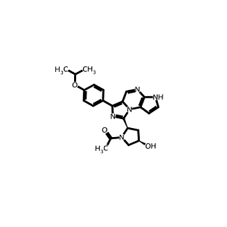 CC(=O)N1C[C@H](O)C[C@@H]1c1nc(-c2ccc(OC(C)C)cc2)c2cnc3[nH]ccc3n12